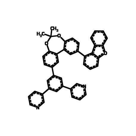 CC1(C)Oc2ccc(-c3cc(-c4cccnc4)cc(-c4cccnc4)c3)cc2-c2cc(-c3cccc4oc5ccccc5c34)ccc2O1